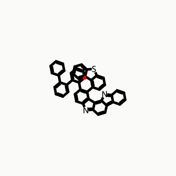 c1ccc(-c2ccccc2-c2ccccc2-c2ccc3c(c2-c2cccc4sc5ccccc5c24)-c2c4c(ccc2=N3)=c2ccccc2=N4)cc1